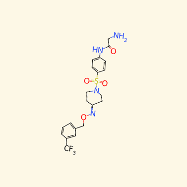 NCC(=O)Nc1ccc(S(=O)(=O)N2CCC(=NOCc3cccc(C(F)(F)F)c3)CC2)cc1